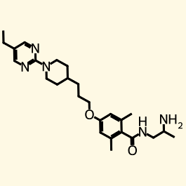 CCc1cnc(N2CCC(CCCOc3cc(C)c(C(=O)NCC(C)N)c(C)c3)CC2)nc1